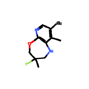 Cc1c(C(C)(C)C)cnc2c1NCC(C)(F)CO2